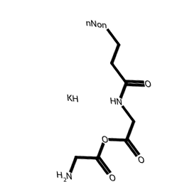 CCCCCCCCCCCC(=O)NCC(=O)OC(=O)CN.[KH]